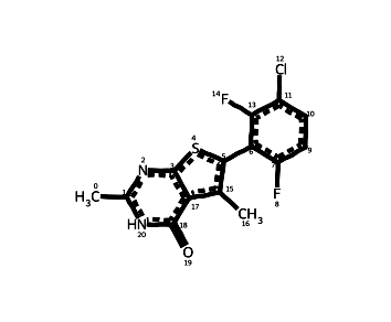 Cc1nc2sc(-c3c(F)ccc(Cl)c3F)c(C)c2c(=O)[nH]1